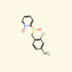 O=[N+]([O-])c1ccc(C[S+]([O-])c2cccc[n+]2[O-])c(Cl)c1